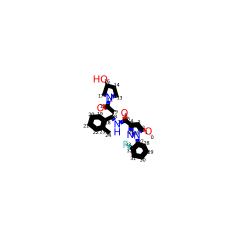 COc1cc(C(=O)N[C@@H](CC(=O)N2CC[C@@H](O)C2)c2ccccc2C)nn1-c1ccccc1F